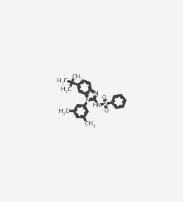 Cc1cc(C)cc(-n2c(NS(=O)(=O)c3ccccc3)nc3ccc(C(C)(C)C)cc32)c1